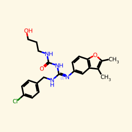 Cc1oc2ccc(/N=C(/NCc3ccc(Cl)cc3)NC(=O)NCCCO)cc2c1C